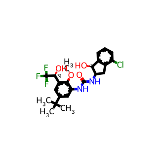 COc1c(NC(=O)NC2Cc3c(Cl)cccc3[C@@H]2O)cc(C(C)(C)C)cc1[C@H](O)C(F)(F)F